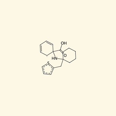 O=C(O)C1(NC2(Cc3cccs3)CCCCC2)[CH]C=CC=C1